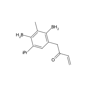 Bc1c(CC(=O)C=C)cc(C(C)C)c(B)c1C